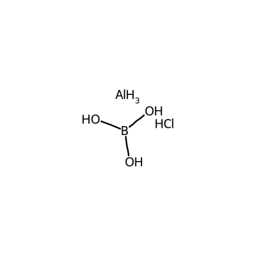 Cl.OB(O)O.[AlH3]